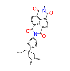 C=CCC(CC=C)(CC=C)c1ccc(N2C(=O)c3ccc4c5c(ccc(c35)C2=O)C(=O)N(C)C4=O)cc1